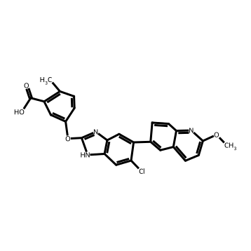 COc1ccc2cc(-c3cc4nc(Oc5ccc(C)c(C(=O)O)c5)[nH]c4cc3Cl)ccc2n1